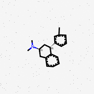 Cc1cccc([C@H]2C[C@H](N(C)C)Cc3ccccc32)c1